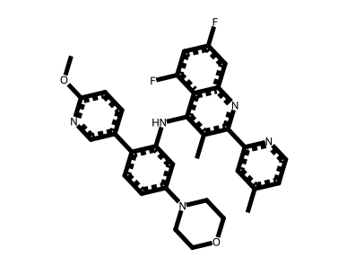 COc1ccc(-c2ccc(N3CCOCC3)cc2Nc2c(C)c(-c3cc(C)ccn3)nc3cc(F)cc(F)c23)cn1